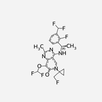 Cc1nc(N[C@H](C)c2cccc(C(F)F)c2F)c2cn(C3(CF)CC3)c(=O)c(OC(F)F)c2n1